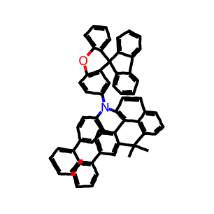 CC1(C)c2cc(-c3ccccc3)ccc2-c2c(N(c3ccc(-c4ccccc4)cc3)c3ccc4c(c3)C3(c5ccccc5O4)c4ccccc4-c4ccccc43)ccc3cccc1c23